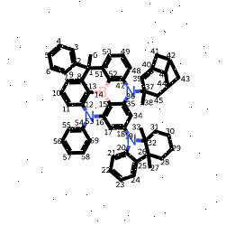 CC1(c2ccccc2)c2cccc3c2B2c4c(cc(N5c6ccccc6C6(C)CCCCC56C)cc4N(C4(C)C=C5CC6CC(C4)C56)c4cccc1c42)N3c1ccccc1